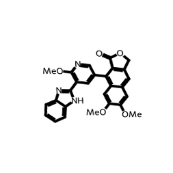 COc1cc2cc3c(c(-c4cnc(OC)c(-c5nc6ccccc6[nH]5)c4)c2cc1OC)C(=O)OC3